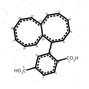 O=C(O)c1ccc(C(=O)O)c(-c2cccccc3ccccccc2-3)c1